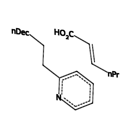 CCCC=CC(=O)O.CCCCCCCCCCCCc1ccccn1